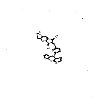 O=C1/C(=C\c2ccc(N3c4ccsc4Sc4sccc43)s2)C(=O)c2cc3c(cc21)CCS3